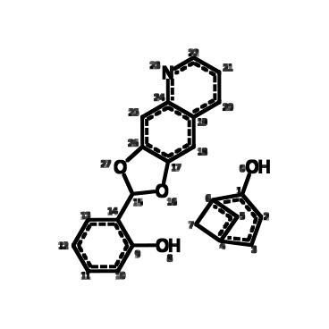 Oc1ccc2cc1C2.Oc1ccccc1C1Oc2cc3cccnc3cc2O1